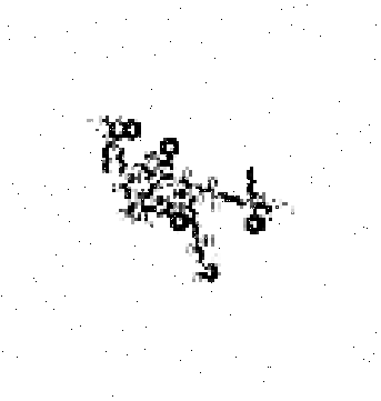 CCCCc1nc2c(N)nc3ccccc3c2n1CCCCNC(=O)CC[C@H](NC(=O)[C@H](Cc1c[nH]c2ccccc12)NC(=O)[C@H](CCC(N)=O)NC(=O)[C@H](Cc1c[nH]c2ccccc12)NC(=O)[C@H](CCC(=O)NCCCCn1c(CCCC)nc2c(N)nc3ccccc3c21)NC(=O)CCCCCNC(=O)CCN1C(=O)C=CC1=O)C(N)=O